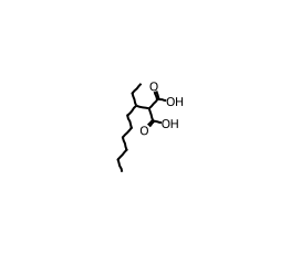 CCCCCCC(CC)C(C(=O)O)C(=O)O